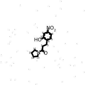 O=C(CCc1ccc([N+](=O)[O-])cc1O)N1CCCC1